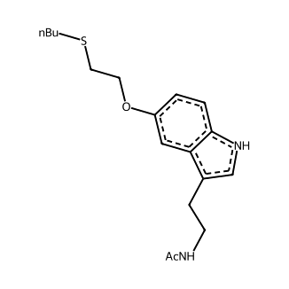 CCCCSCCOc1ccc2[nH]cc(CCNC(C)=O)c2c1